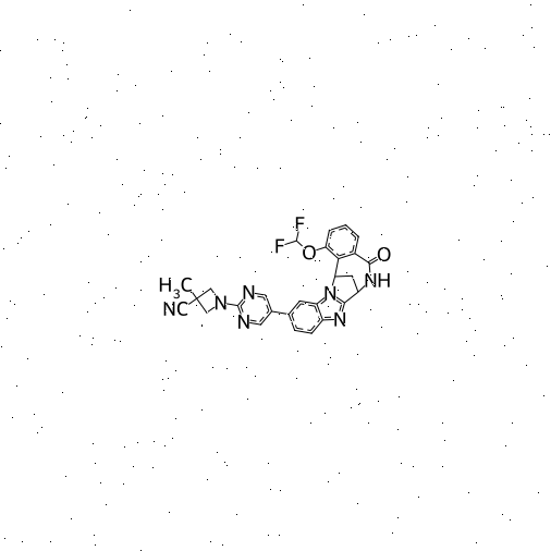 CC1(C#N)CN(c2ncc(-c3ccc4nc5n(c4c3)C3CC5NC(=O)c4cccc(OC(F)F)c43)cn2)C1